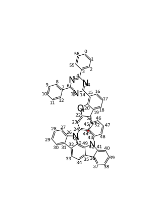 c1ccc(-c2nc(-c3ccccc3)nc(-c3cccc4c3oc3cc(-n5c6ccccc6c6ccc7c8ccccc8n(-c8ccccc8)c7c65)ccc34)n2)cc1